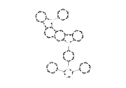 c1ccc(-c2nnc(-c3ccccc3)n2-c2ccc(-n3c4ccccc4c4cc5c(ccc6c7ccccc7n(-c7ccccc7)c56)cc43)cc2)cc1